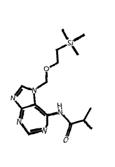 CC(C)C(=O)Nc1ncnc2ncn(COCC[Si](C)(C)C)c12